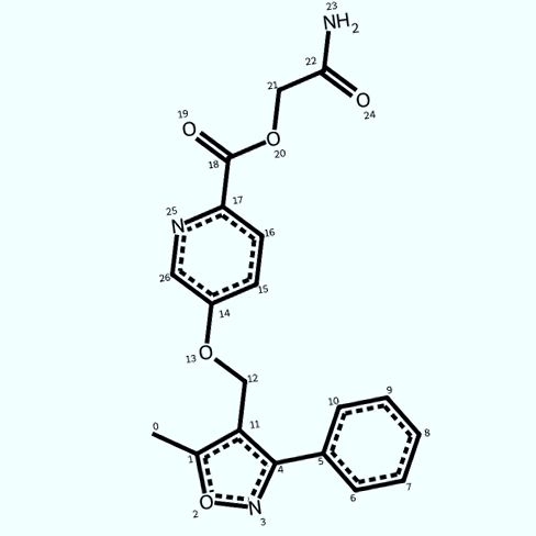 Cc1onc(-c2ccccc2)c1COc1ccc(C(=O)OCC(N)=O)nc1